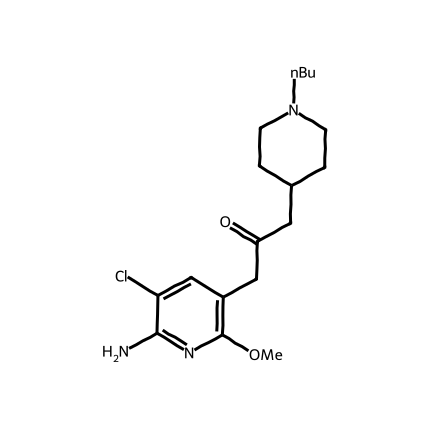 CCCCN1CCC(CC(=O)Cc2cc(Cl)c(N)nc2OC)CC1